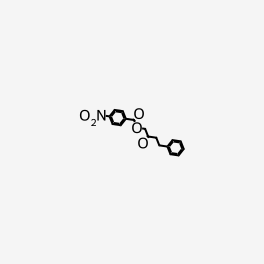 O=C(CCc1ccccc1)COC(=O)c1ccc([N+](=O)[O-])cc1